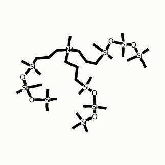 C[N+](CCC[Si](C)(C)O[Si](C)(C)O[Si](C)(C)C)(CCC[Si](C)(C)O[Si](C)(C)O[Si](C)(C)C)CCC[Si](C)(C)O[Si](C)(C)O[Si](C)(C)C